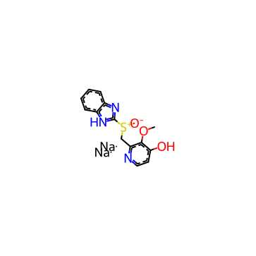 COc1c(O)ccnc1C[S+]([O-])c1nc2ccccc2[nH]1.[Na].[Na]